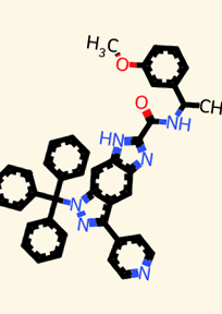 COc1cccc(C(C)NC(=O)c2nc3cc4c(-c5ccncc5)nn(C(c5ccccc5)(c5ccccc5)c5ccccc5)c4cc3[nH]2)c1